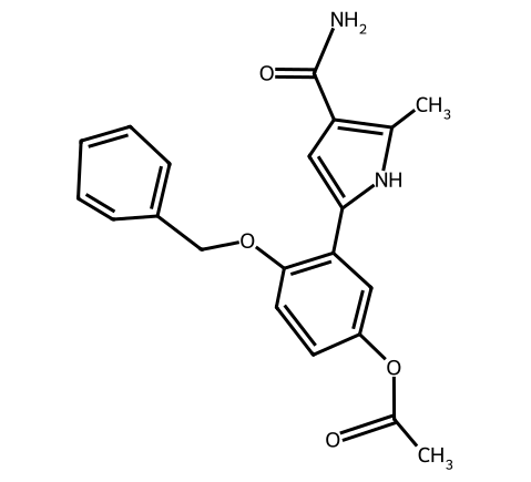 CC(=O)Oc1ccc(OCc2ccccc2)c(-c2cc(C(N)=O)c(C)[nH]2)c1